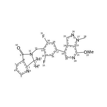 [2H]C1([2H])c2ncccc2C(=O)N1Cc1c(F)cc(-c2cnc(OC)c3c2cnn3C)cc1F